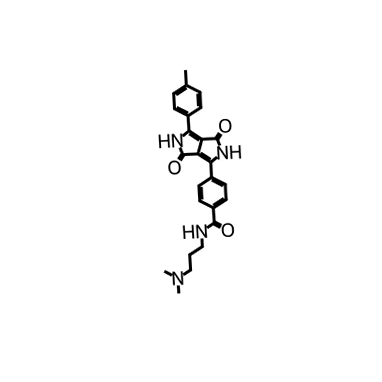 Cc1ccc(C2=C3C(=O)NC(c4ccc(C(=O)NCCCN(C)C)cc4)=C3C(=O)N2)cc1